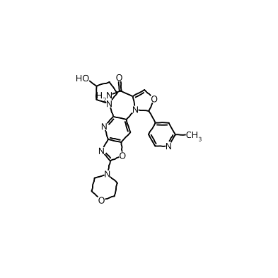 Cc1cc(C2OC=C(C(N)=O)N2c2cc3oc(N4CCOCC4)nc3nc2N2CCC(O)C2)ccn1